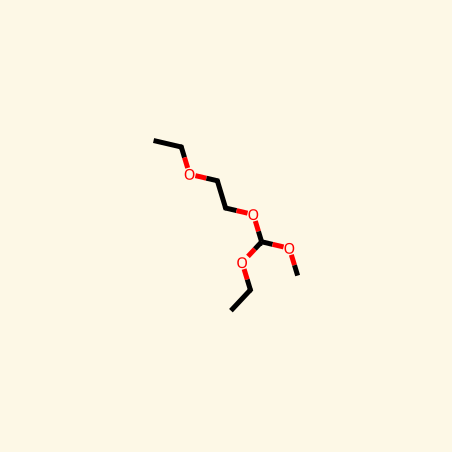 CCOCCO[C](OC)OCC